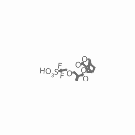 C=C(COCC(F)(F)S(=O)(=O)O)C(=O)OC1C2CC3C(=O)OC1C3C2